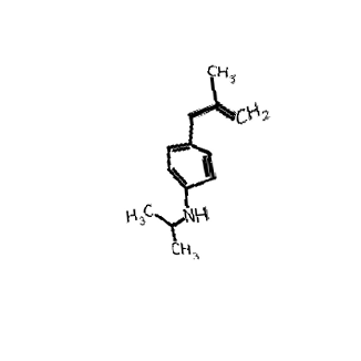 C=C(C)Cc1ccc(NC(C)C)cc1